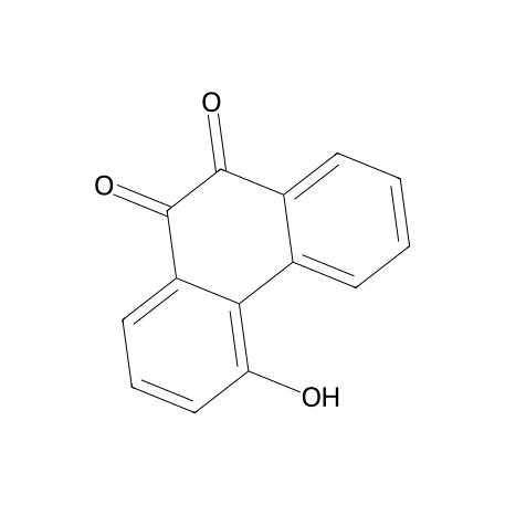 O=C1C(=O)c2cccc(O)c2-c2ccccc21